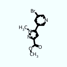 COC(=O)c1cc(-c2cncc(Br)c2)n(C)n1